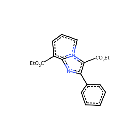 CCOC(=O)c1cccn2c(C(=O)OCC)c(-c3ccccc3)nc12